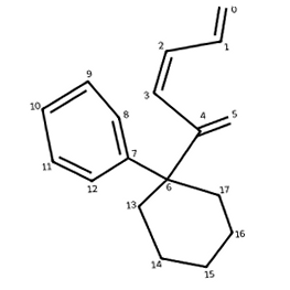 C=C/C=C\C(=C)C1(c2ccccc2)CCCCC1